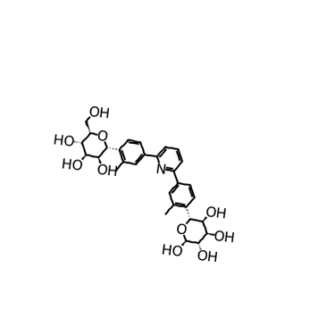 Cc1cc(-c2cccc(-c3ccc([C@H]4O[C@H](CO)[C@@H](O)[C@H](O)[C@@H]4O)c(C)c3)n2)ccc1[C@H]1O[C@H](O)[C@@H](O)[C@H](O)[C@@H]1O